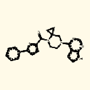 O=C(c1ccc(-c2ccccc2)s1)N1CCN(c2ncnc3[nH]ccc23)CC12CC2